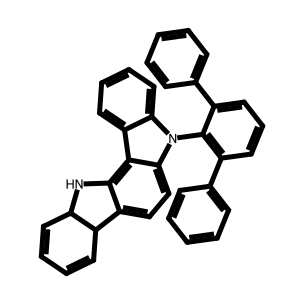 C1=CC2Nc3c(ccc4c3c3ccccc3n4-c3c(-c4ccccc4)cccc3-c3ccccc3)C2C=C1